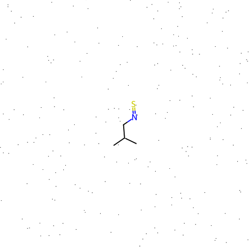 CC(C)CN=S